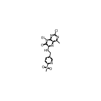 CCn1c(=O)c(NCc2ccc(S(C)(=O)=O)nc2)nc2c(C)nc(Cl)nc21